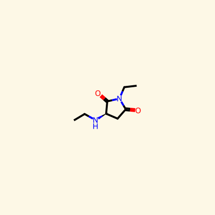 CCN[C@@H]1CC(=O)N(CC)C1=O